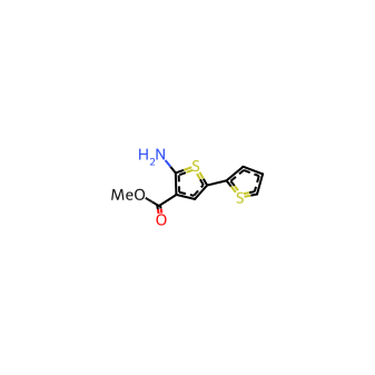 COC(=O)c1cc(-c2cccs2)sc1N